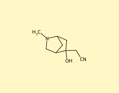 CN1CC2CC1CC2(O)CC#N